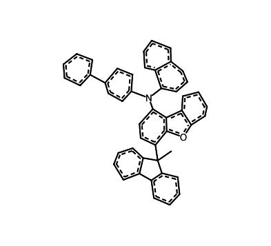 CC1(c2ccc(N(c3ccc(-c4ccccc4)cc3)c3cccc4ccccc34)c3c2oc2ccccc23)c2ccccc2-c2ccccc21